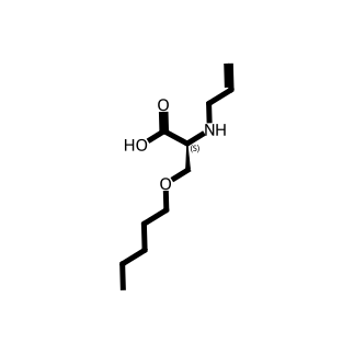 C=CCN[C@@H](COCCCCC)C(=O)O